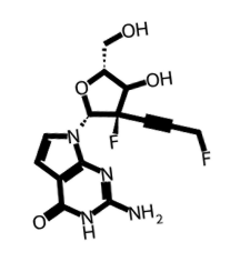 Nc1nc2c(ccn2[C@@H]2O[C@H](CO)C(O)[C@]2(F)C#CCF)c(=O)[nH]1